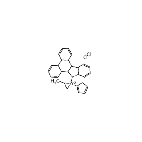 C[CH]1[CH2][Zr+2]1([C]1=CC=CC1)[CH]1C2C=CC=CC2C2C3C=CC=CC3C3C=CC=CC3C21.[Cl-].[Cl-]